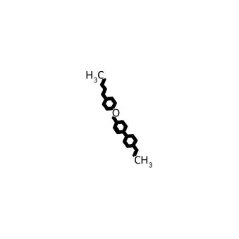 CCCCCC1CCC(OCC2C=CC(C3CCC(CCC)CC3)CC2)CC1